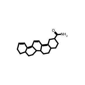 NC(=O)C1CCC2CCC3C(=C2C1)C=CC1=C2C=CCCC2CCC13